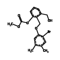 COC(=O)Oc1cccc(CO)c1COc1cc(C)c(C)cc1Br